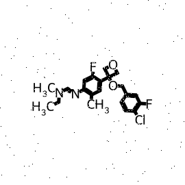 CCN(C)C=Nc1cc(F)c(C2(OCc3ccc(Cl)c(F)c3)COC2)cc1C